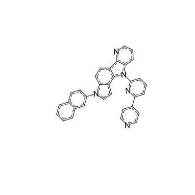 c1cc(-c2ccncc2)nc(-n2c3cccnc3c3ccc4c(ccn4-c4ccc5ccccc5c4)c32)c1